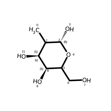 CC1[C@H](O)OC(CO)[C@@H](O)[C@H]1O